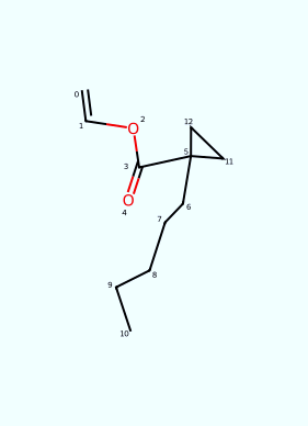 C=COC(=O)C1(CCCCC)CC1